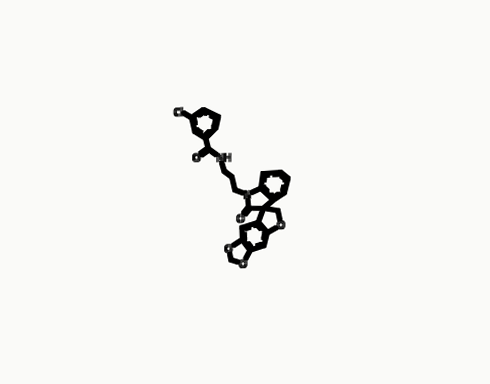 O=C(NCCCN1C(=O)C2(COc3cc4c(cc32)OCO4)c2ccccc21)c1cccc(Cl)c1